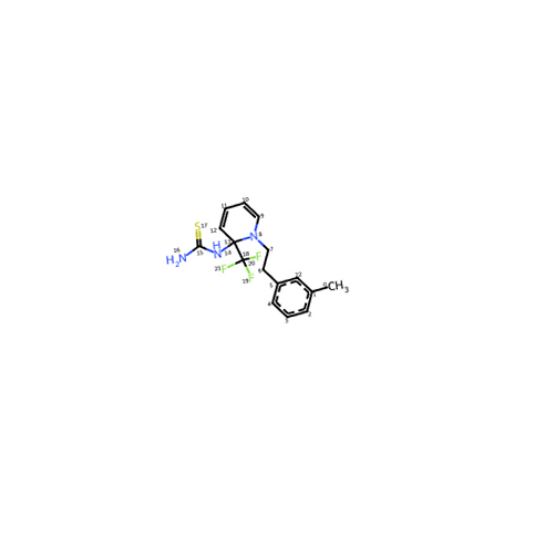 Cc1cccc(CCN2C=CC=CC2(NC(N)=S)C(F)(F)F)c1